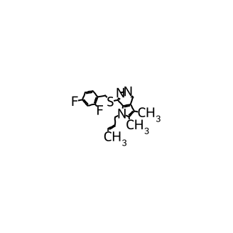 CC=CCn1c(C)c(C)c2cnnc(SCc3ccc(F)cc3F)c21